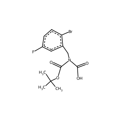 CC(C)(C)OC(=O)N(Cc1cc(F)ccc1Br)C(=O)O